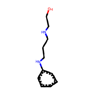 OCCNCCCNc1cc[c]cc1